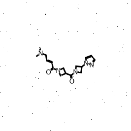 CN(C)CC=CC(=O)N1CC(C(=O)N2CC(n3cccn3)C2)C1